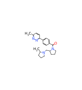 Cc1ccc(-c2ccc(C(=O)N3CCCC3CN3CCCC3C)cc2)nn1